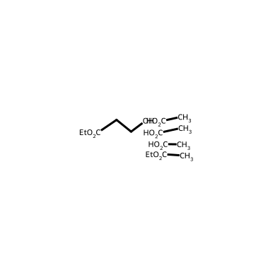 CC(=O)O.CC(=O)O.CC(=O)O.CCOC(=O)CCO.CCOC(C)=O